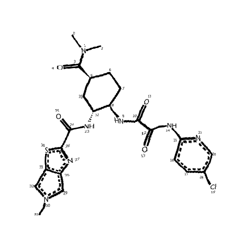 CN(C)C(=O)[C@H]1CC[C@@H](NC(=O)C(=O)Nc2ccc(Cl)cn2)[C@H](NC(=O)c2nc3cn(C)cc3s2)C1